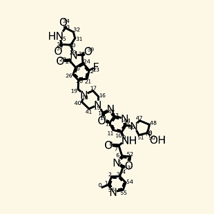 Cc1cc(-c2nc(C(=O)Nc3cc4oc(N5CCN(Cc6cc(F)c7c(c6)C(=O)N(C6CCC(=O)NC6=O)C7=O)CC5)nc4nc3N3CC[C@@H](O)C3)co2)ccn1